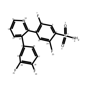 NS(=O)(=O)c1cc(F)c(-c2ncccc2-c2ccc(F)c(F)c2)cc1F